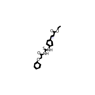 CCOC(=O)/C=C/c1ccc(NC(=S)NC(=O)COc2ccccc2)cc1